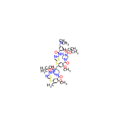 COc1cc(CC2CCN(C(=O)c3cc(Sc4cnc(N)s4)c(C)cc3OC)CCN2C(=O)OC(C)(C)C)c(Sc2cnc(NC(=O)c3cccc(CN(C)C)c3)s2)cc1C(=O)N1CCCN(C(=O)OC(C)(C)C)CC1